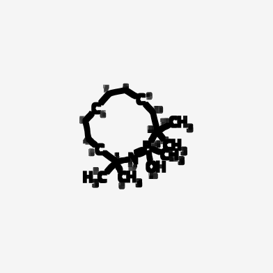 CC1(C)CCCCCCCCC(C)(C)P(C)(O)=N1